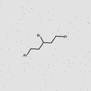 CC(C)CCC(Br)CCC(C)C